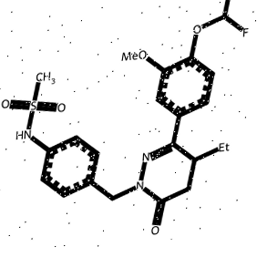 CCC1CC(=O)N(Cc2ccc(NS(C)(=O)=O)cc2)N=C1c1ccc(OC(F)F)c(OC)c1